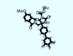 COc1ccc2c(c1)CN(CC1(c3ccc(-c4cc(F)c(F)c(F)c4)cc3)NC(=O)N(C(=O)OC(C)(C)C)C1=O)C2=O